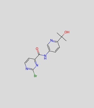 CC(C)(O)c1ccc(NC(=O)c2ccnc(Br)n2)cn1